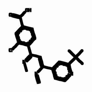 C=N/C(=C\C(=N/C)c1ccc(C(=O)O)cc1Cl)c1ccnc(C(C)(C)C)c1